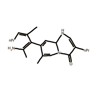 CCC/C=C(C)\C(C1=CC2NC=C(CCC)C(=O)N2C=C1C)=C(\C)N